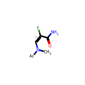 CC(=O)N(C)/C=C(/F)C(N)=O